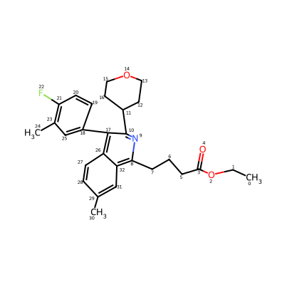 CCOC(=O)CCCc1nc(C2CCOCC2)c(-c2ccc(F)c(C)c2)c2ccc(C)cc12